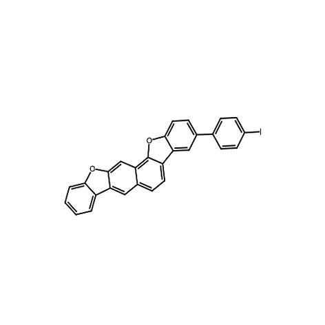 Ic1ccc(-c2ccc3oc4c5cc6oc7ccccc7c6cc5ccc4c3c2)cc1